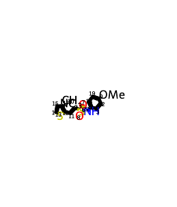 COc1ccc(NS(=O)(=O)C(C#N)=Cc2sccc2C)cc1